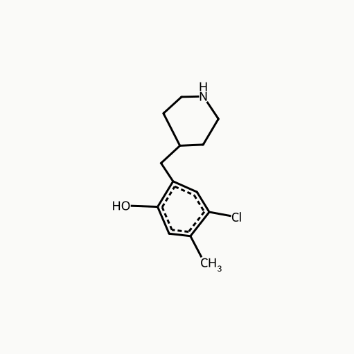 Cc1cc(O)c(CC2CCNCC2)cc1Cl